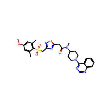 COc1cc(C)c(S(=O)(=O)Cc2noc(CC(=O)N(C)C3CCN(c4ncnc5ccccc45)CC3)n2)c(C)c1